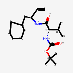 C=C[C@H](CC1CCCCC1)NC(=O)[C@@H](NC(=O)OC(C)(C)C)C(C)C